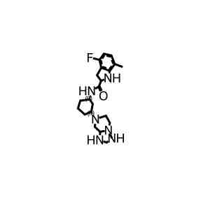 Cc1ccc(F)c2c1NC(C(=O)N[C@@H]1CCC[C@@H](N3CCN4NCNC4C3)C1)C2